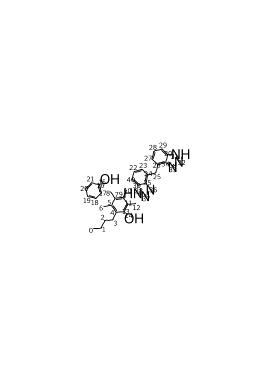 CCCCc1c(C)c(C)c(C)c(C)c1O.Oc1ccccc1.c1cc(Cc2cccc3[nH]nnc23)c2nn[nH]c2c1